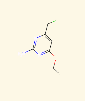 Nc1nc(CCl)cc(OCC(F)(F)F)n1